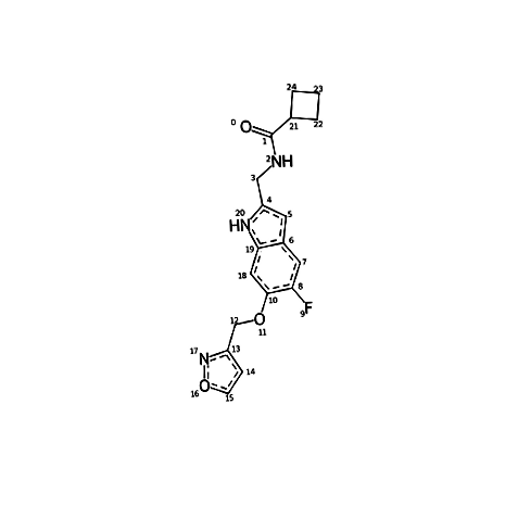 O=C(NCc1cc2cc(F)c(OCc3ccon3)cc2[nH]1)C1CCC1